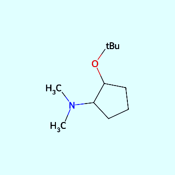 CN(C)C1CCCC1OC(C)(C)C